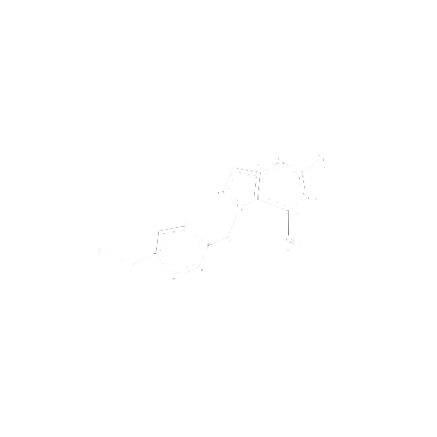 COc1ccc(Cn2ccc3nc(N)nc(N)c32)cc1